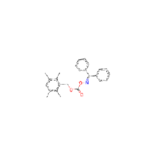 Cc1cc(C)c(C)c(COC(=O)ON=C(c2ccccc2)c2ccccc2)c1C